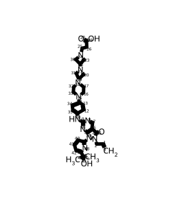 C=CCn1c(=O)c2cnc(Nc3ccc(N4CCN(C5CN(C6CN(CCC(=O)O)C6)C5)CC4)cc3)nc2n1-c1cccc(C(C)(C)O)n1